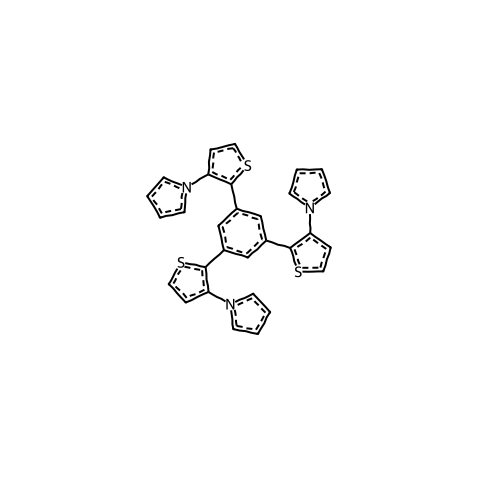 c1ccn(-c2ccsc2-c2cc(-c3sccc3-n3cccc3)cc(-c3sccc3-n3cccc3)c2)c1